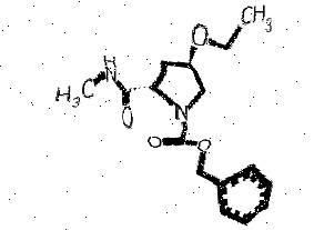 CCO[C@@H]1C[C@@H](C(=O)NC)N(C(=O)OCc2ccccc2)C1